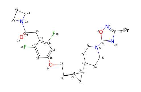 CC(C)c1noc(N2CCC([C@@H]3C[C@H]3CCOc3cc(F)c(CC(=O)N4CCC4)c(F)c3)CC2)n1